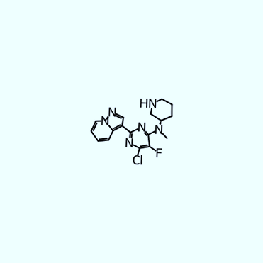 CN(c1nc(-c2cnn3ccccc23)nc(Cl)c1F)[C@@H]1CCCNC1